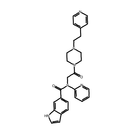 O=C(CN(C(=O)c1ccc2cc[nH]c2c1)c1ccccn1)N1CCN(CCc2ccncc2)CC1